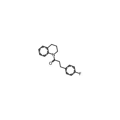 O=C(CCc1ccc(F)cc1)N1CCCc2ccccc21